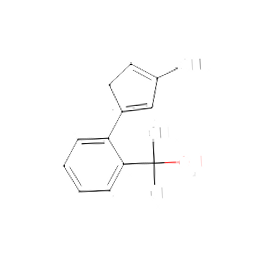 CC1=CCC(c2ccccc2C(C)(C)O)=C1